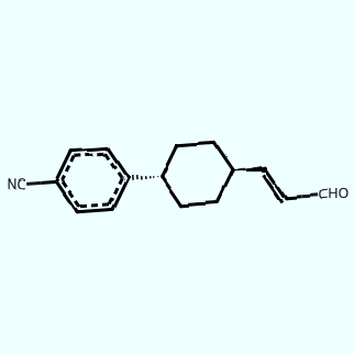 N#Cc1ccc([C@H]2CC[C@H](C=CC=O)CC2)cc1